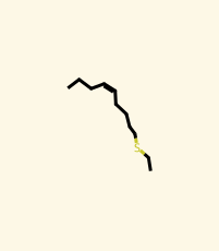 CCC/C=C\CCCCSCC